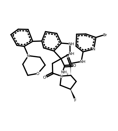 NC(=O)C1(CC(=O)N2C[C@H](F)C[C@H]2C(=O)Nc2cccc(Br)n2)NNc2ccc(-c3ccccc3N3CCOCC3)cc21